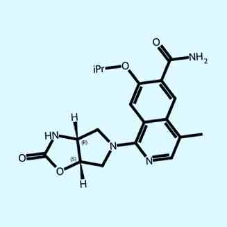 Cc1cnc(N2C[C@@H]3OC(=O)N[C@@H]3C2)c2cc(OC(C)C)c(C(N)=O)cc12